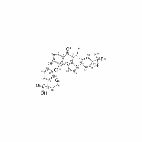 CCN(C(=O)c1ccc(Oc2ccc3c(c2)OCCC3C(=O)O)c(Cl)c1)c1cccn1-c1ccc(C(F)(F)F)cc1